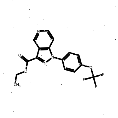 CCOC(=O)c1nn(-c2ccc(OC(F)(F)F)cc2)c2ccncc12